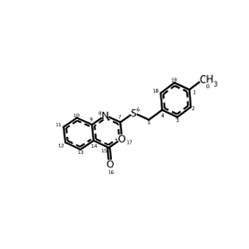 Cc1ccc(CSc2nc3ccccc3c(=O)o2)cc1